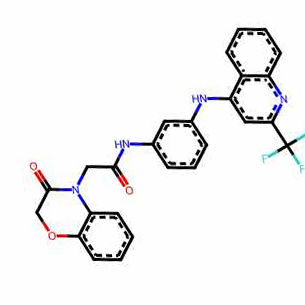 O=C(CN1C(=O)COc2ccccc21)Nc1cccc(Nc2cc(C(F)(F)F)nc3ccccc23)c1